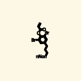 C=CC(=O)Oc1c(Br)cc(CCCCCCCCCCCC)cc1Br